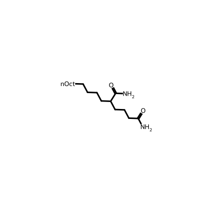 CCCCCCCCCCCCC(CCCC(N)=O)C(N)=O